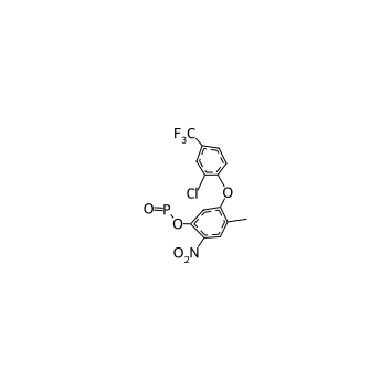 Cc1cc([N+](=O)[O-])c(OP=O)cc1Oc1ccc(C(F)(F)F)cc1Cl